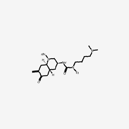 C=C1C[C@@H]2[C@@H](CC1=O)C[C@H](NC(=O)N(CC)CCCCN(C)C)CN2CCC